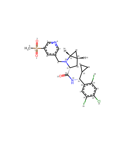 CS(=O)(=O)c1cncc(CN2[C@@H](C(=O)N[C@@H](c3cc(F)c(Cl)cc3F)C3CC3)C[C@H]3C[C@H]32)c1